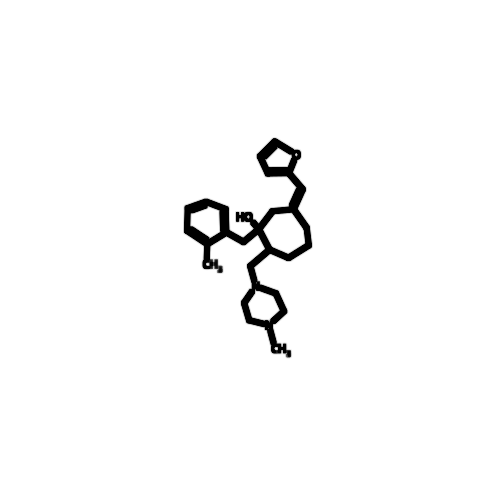 Cc1ccccc1CC1(O)C/C(=C\c2ccco2)CCCC1CN1CCN(C)CC1